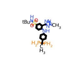 Cn1nnc(-c2cc(S(=O)(=O)NC(C)(C)C)ccc2Nc2ccc(C(C)(P)P)cc2)n1